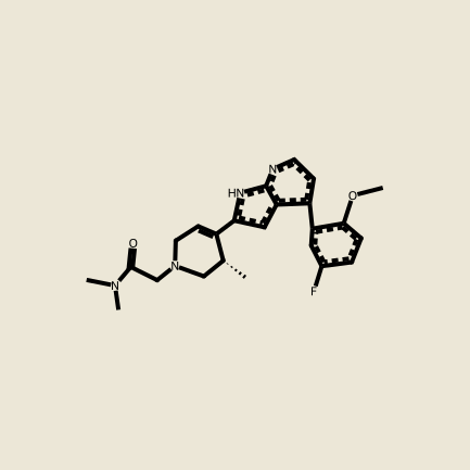 COc1ccc(F)cc1-c1ccnc2[nH]c(C3=CCN(CC(=O)N(C)C)C[C@H]3C)cc12